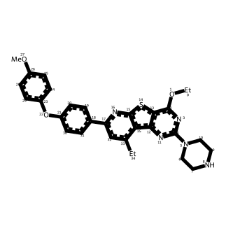 CCOc1nc(N2CCNCC2)nc2c1sc1nc(-c3ccc(Oc4ccc(OC)cc4)cc3)cc(CC)c12